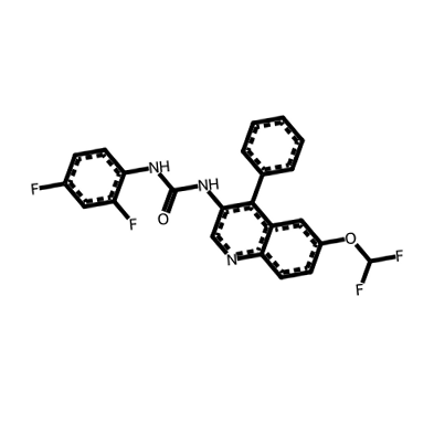 O=C(Nc1ccc(F)cc1F)Nc1cnc2ccc(OC(F)F)cc2c1-c1ccccc1